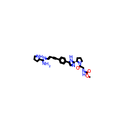 COC(=O)NCC(=O)N1CCC[C@H]1c1ncc(-c2ccc(C#C/C=C/N=C(\N)C3CCCN3)cc2)[nH]1